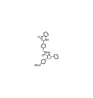 COc1ccc(C2=C(C(=O)NCc3ccc(C(=O)Nc4ccccc4N)cc3)NC(c3ccccc3)C2)cc1